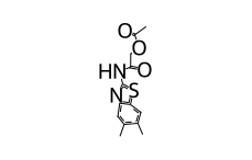 CC(=O)OCC(=O)Nc1nc2cc(C)c(C)cc2s1